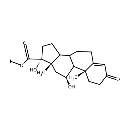 C[C@]12CCC(=O)C=C1CCC1C2[C@@H](O)C[C@@]2(C)C1CC[C@]2(O)C(=O)OI